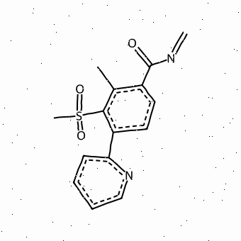 C=NC(=O)c1ccc(-c2ccccn2)c(S(C)(=O)=O)c1C